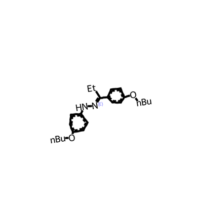 CCCCOc1ccc(N/N=C(\CC)c2ccc(OCCCC)cc2)cc1